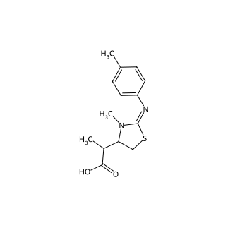 Cc1ccc(N=C2SCC(C(C)C(=O)O)N2C)cc1